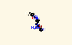 Nc1ncc(-c2cccc(CNC(=O)Nc3ccc(C(F)(F)F)cc3)c2)nc1C(=O)N[C@H]1CCCNC1